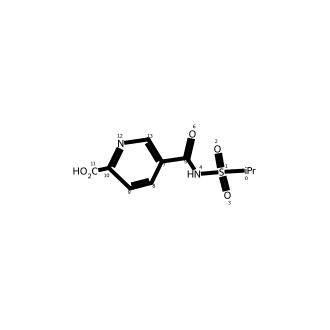 CC(C)S(=O)(=O)NC(=O)c1ccc(C(=O)O)nc1